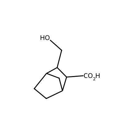 O=C(O)C1C2CCC(C2)C1CO